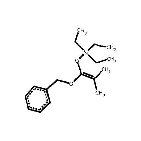 CC[Si](CC)(CC)OC(OCc1ccccc1)=C(C)C